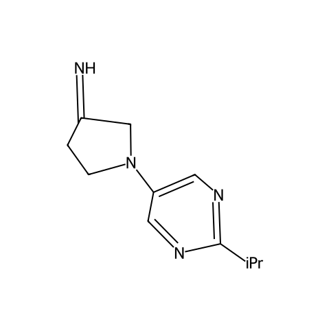 CC(C)c1ncc(N2CCC(=N)C2)cn1